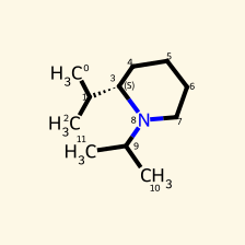 CC(C)[C@@H]1CCCCN1C(C)C